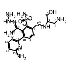 NCC(CO)NSc1ccc(-c2cccc(N)n2)c(/C(N)=N/NN)c1S(N)(=O)=O